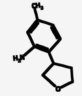 Cc1ccc(C2CCOC2)c(N)c1